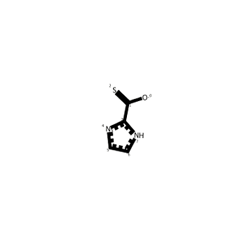 [O]C(=S)c1ncc[nH]1